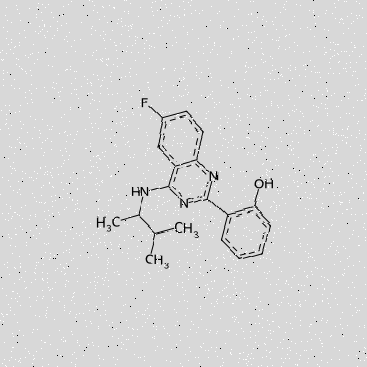 CC(C)C(C)Nc1nc(-c2ccccc2O)nc2ccc(F)cc12